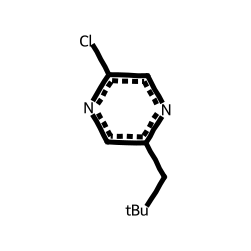 CC(C)(C)Cc1cnc(Cl)cn1